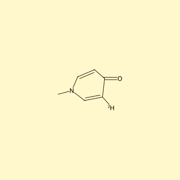 [2H]c1cn(C)ccc1=O